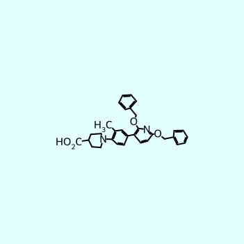 Cc1cc(-c2ccc(OCc3ccccc3)nc2OCc2ccccc2)ccc1N1CCC(C(=O)O)CC1